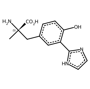 C[C@](N)(Cc1ccc(O)c(-c2ncc[nH]2)c1)C(=O)O